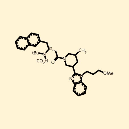 COCCCn1c(C2CC(C)CN(C(=O)C[C@@H](Cc3ccc4ccccc4c3)N(C(=O)O)C(C)(C)C)C2)nc2ccccc21